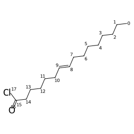 CCCCCCCC/C=C/CCCCCC(=O)Cl